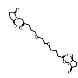 O=C(CCCOCCOCCCC(=O)ON1C(=O)CCC1=O)CN1C(=O)CCC1=O